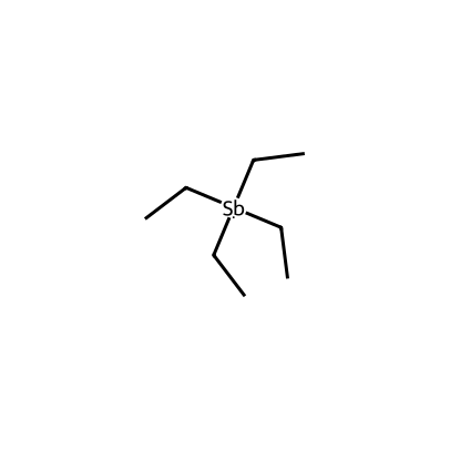 C[CH2][Sb]([CH2]C)([CH2]C)[CH2]C